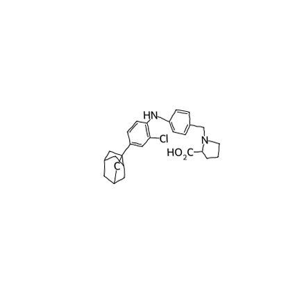 O=C(O)C1CCCN1Cc1ccc(Nc2ccc(C34CC5CC(CC3C5)C4)cc2Cl)cc1